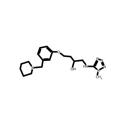 Cn1nnnc1NCC(O)CCOc1cccc(CN2CCCCC2)c1